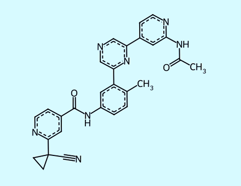 CC(=O)Nc1cc(-c2cncc(-c3cc(NC(=O)c4ccnc(C5(C#N)CC5)c4)ccc3C)n2)ccn1